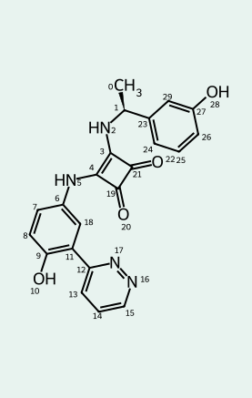 C[C@H](Nc1c(Nc2ccc(O)c(-c3cccnn3)c2)c(=O)c1=O)c1cccc(O)c1